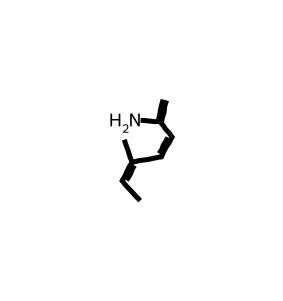 C=C(N)/C=C\C(C)=C/C